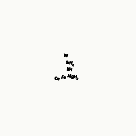 [Ce].[Fe].[KH].[MgH2].[SrH2].[W]